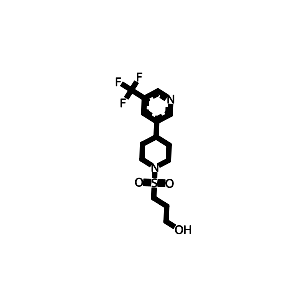 O=S(=O)(CCCO)N1CCC(c2cncc(C(F)(F)F)c2)CC1